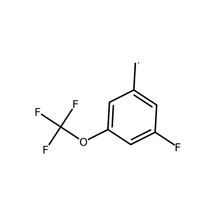 [CH2]c1cc(F)cc(OC(F)(F)F)c1